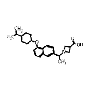 CC(C)C1CCC(Oc2cccc3cc(C(C)N4CC(C(=O)O)C4)ccc23)CC1